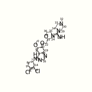 COc1cc2c(Nc3ccc(Cl)c(Cl)c3)ncnc2cc1OCC1CN(C(=N)N2CCN(C)CC2)CCO1